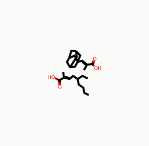 C/C(=C\C12CC3CC(CC(C3)C1)C2)C(=O)O.CCCCC(CC)C/C=C(\C)C(=O)O